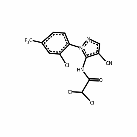 N#Cc1cnn(-c2ccc(C(F)(F)F)cc2Cl)c1NC(=O)C(Cl)Cl